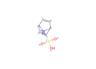 O=S(=O)(O)C1=C[C]2C=C[C]1N2